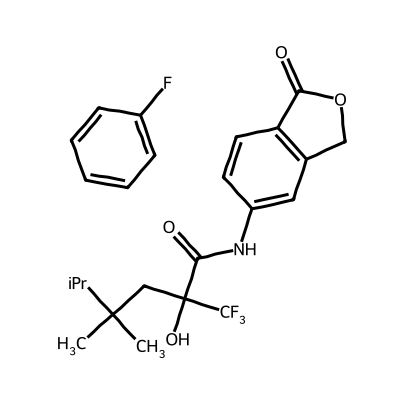 CC(C)C(C)(C)CC(O)(C(=O)Nc1ccc2c(c1)COC2=O)C(F)(F)F.Fc1ccccc1